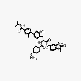 Cc1cc(C(=O)NC(C)C)ccc1-c1ccc(C[C@H](NC(=O)[C@H]2CC[C@H](CN)CC2)C(=O)Nc2ccc3c(c2)[nH]c(=O)n3C)cc1.Cl